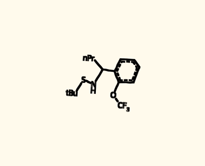 CCCC(NSC(C)(C)C)c1ccccc1OC(F)(F)F